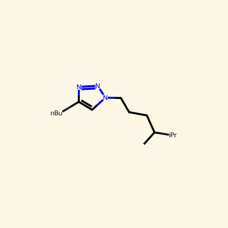 CCCCc1cn(CCCC(C)C(C)C)nn1